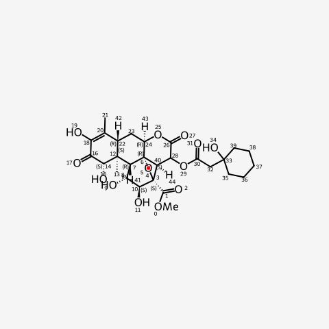 COC(=O)[C@@]12OC[C@]34[C@H]([C@@H](O)[C@@H]1O)[C@@]1(C)[C@H](O)C(=O)C(O)=C(C)[C@@H]1C[C@H]3OC(=O)C(OC(=O)CC1(O)CCCCC1)[C@@H]24